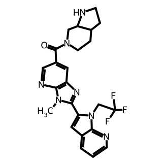 Cn1c(-c2cc3cccnc3n2CC(F)(F)F)nc2cc(C(=O)N3CCC4CCNC4C3)cnc21